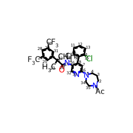 CC(=O)N1CCCN(c2cc(-c3ccccc3Cl)c(N(C)C(=O)C(C)(C)c3cc(C(F)(F)F)cc(C(F)(F)F)c3)cn2)CC1